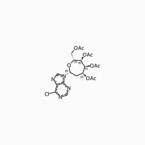 CC(=O)OC[C@H]1O[C@@H](n2cnc3c(Cl)ncnc32)C[C@H](OC(C)=O)[C@H](OC(C)=O)[C@@H]1OC(C)=O